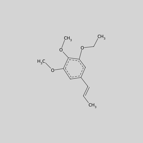 CC=Cc1cc(OC)c(OC)c(OCC)c1